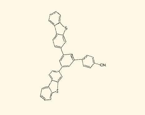 N#Cc1ccc(-c2cc(-c3ccc4c(c3)sc3ccccc34)cc(-c3ccc4c(c3)sc3ccccc34)c2)cc1